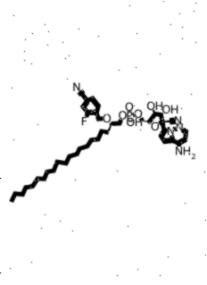 CCCCCCCCCCCCCCCCCCC[C@H](COP(=O)(O)OC[C@H]1O[C@@](C#N)(c2ccc3c(N)ccnn23)[C@H](O)[C@@H]1O)OCc1ccc(C#N)cc1F